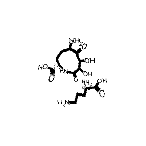 NC1CC[C@@H](C(=O)O)NC(=O)C(O)C(O)C1=O.NCCC[C@H](N)C(=O)O